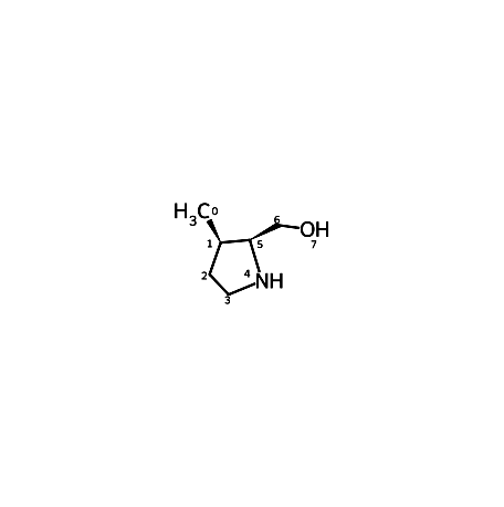 C[C@@H]1CCN[C@@H]1CO